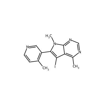 Cc1ccncc1-c1c(I)c2c(C)ncnc2n1C